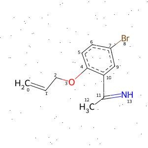 C=CCOc1ccc(Br)cc1C(C)=N